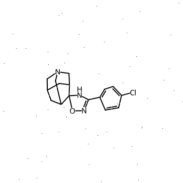 Clc1ccc(C2=NOC3(N2)C2CC4CC3CN(C4)C2)cc1